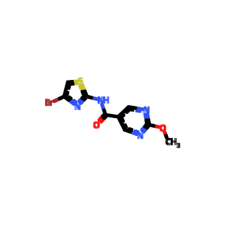 COc1ncc(C(=O)Nc2nc(Br)cs2)cn1